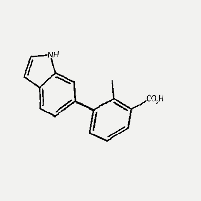 Cc1c(C(=O)O)cccc1-c1ccc2cc[nH]c2c1